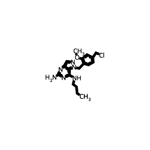 CCCCNc1nc(N)nc2cnn(Cc3ccc(CCl)cc3OC)c12